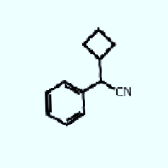 N#CC(c1ccccc1)C1CCC1